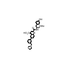 COC[C@H](Cc1ccc(O)cc1)NC(=O)c1cc(C(=O)O)c2cc(-c3cccc(CN4CCSC4)c3)ccc2n1